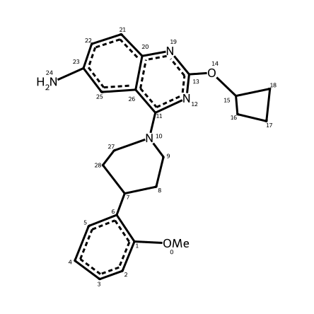 COc1ccccc1C1CCN(c2nc(OC3CCC3)nc3ccc(N)cc23)CC1